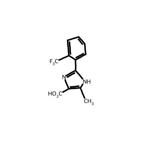 Cc1[nH]c(-c2ccccc2C(F)(F)F)nc1C(=O)O